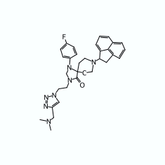 CN(C)Cc1cn(CCN2CN(c3ccc(F)cc3)C3(CCN(C4Cc5cccc6cccc4c56)CC3)C2=O)nn1